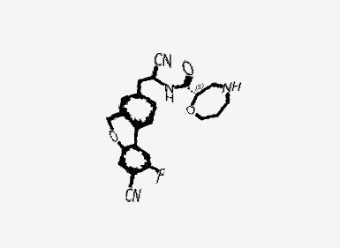 N#Cc1cc2c(cc1F)-c1ccc(CC(C#N)NC(=O)[C@@H]3CNCCCO3)cc1CO2